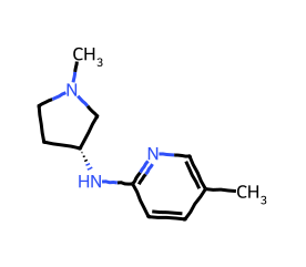 Cc1ccc(N[C@@H]2CCN(C)C2)nc1